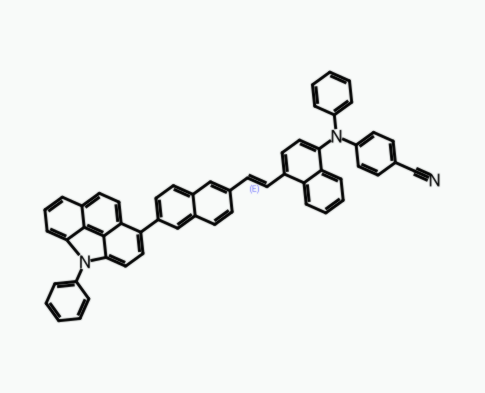 N#Cc1ccc(N(c2ccccc2)c2ccc(/C=C/c3ccc4cc(-c5ccc6c7c5ccc5cccc(c57)n6-c5ccccc5)ccc4c3)c3ccccc23)cc1